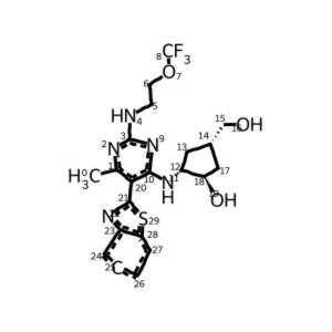 Cc1nc(NCCOC(F)(F)F)nc(N[C@@H]2C[C@H](CO)C[C@H]2O)c1-c1nc2ccccc2s1